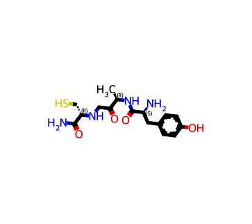 C[C@@H](NC(=O)[C@@H](N)Cc1ccc(O)cc1)C(=O)CN[C@@H](CS)C(N)=O